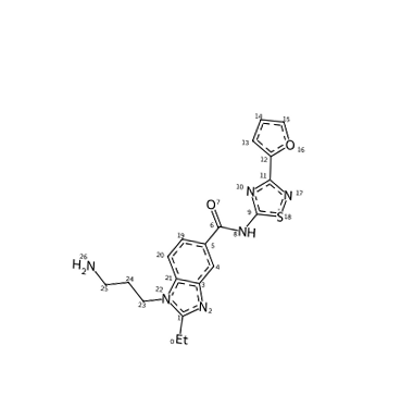 CCc1nc2cc(C(=O)Nc3nc(-c4ccco4)ns3)ccc2n1CCCN